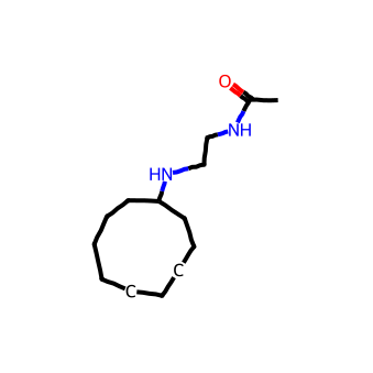 CC(=O)NCCNC1CCCCCCCCC1